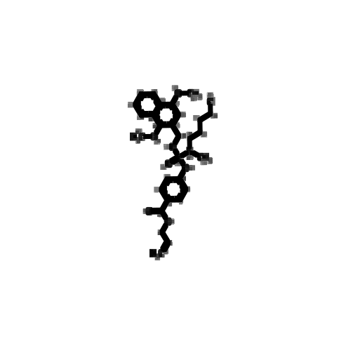 C=CCOC(=O)c1ccc(OP(=O)(OCc2cc(OC)c3ccccc3c2OC)N(C)CCCCCl)cc1